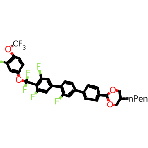 CCCCCC1COC(c2ccc(-c3ccc(-c4cc(F)c(C(F)(F)Oc5ccc(OC(F)(F)F)c(F)c5)c(F)c4)c(F)c3)cc2)OC1